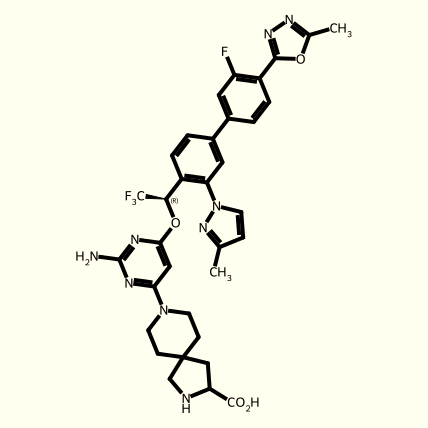 Cc1ccn(-c2cc(-c3ccc(-c4nnc(C)o4)c(F)c3)ccc2[C@@H](Oc2cc(N3CCC4(CC3)CNC(C(=O)O)C4)nc(N)n2)C(F)(F)F)n1